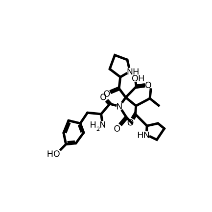 CC(=O)N(C(=O)C(N)Cc1ccc(O)cc1)C(C(=O)O)(C(=O)C1CCCN1)C(C(=O)C1CCCN1)C(C)C